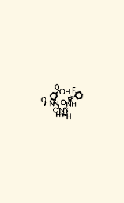 CC(=O)c1nn(CC(=O)N2[C@@H]3C[C@@H]3C[C@H]2C(=O)N[C@H]2C[C@H]2c2ccccc2F)c2cc(C(=O)O)ccc12